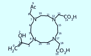 C=C(O)CN1CCN(CC(C)=O)CCN(CC(=O)O)CCN(CC(=O)O)CC1